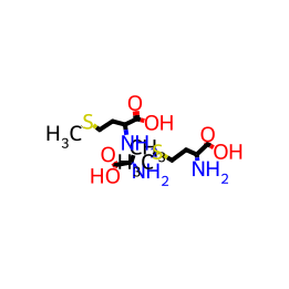 CC(N)C(=O)O.CSCCC(N)C(=O)O.CSCCC(N)C(=O)O